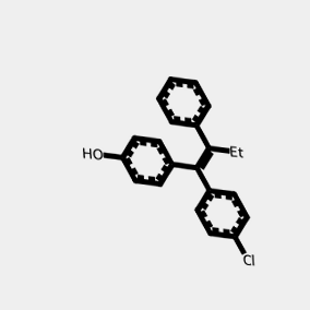 CC/C(=C(/c1ccc(O)cc1)c1ccc(Cl)cc1)c1ccccc1